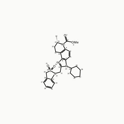 COC(=O)N1c2ccc3c(nc(CN4c5ccccc5CS4(=O)=O)n3C3CCCCC3)c2CC[C@@H]1C